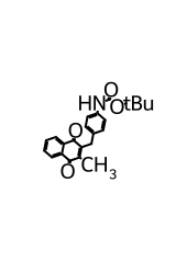 CC1=C(Cc2ccc(NC(=O)OC(C)(C)C)cc2)C(=O)c2ccccc2C1=O